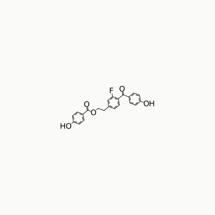 O=C(OCCc1ccc(C(=O)c2ccc(O)cc2)c(F)c1)c1ccc(O)cc1